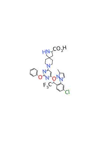 Cc1ccn(-c2cc(Cl)ccc2C(Oc2cc(N3CCC4(CC3)CNC(C(=O)O)C4)nc(Oc3ccccc3)n2)C(F)(F)F)n1